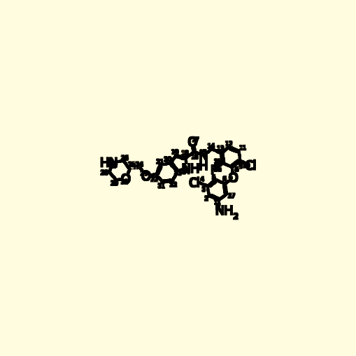 Nc1cc(Cl)cc(Oc2c(Cl)ccc(CNC(=O)c3cc4cc(OC[C@H]5CNCCO5)ccc4[nH]3)c2F)c1